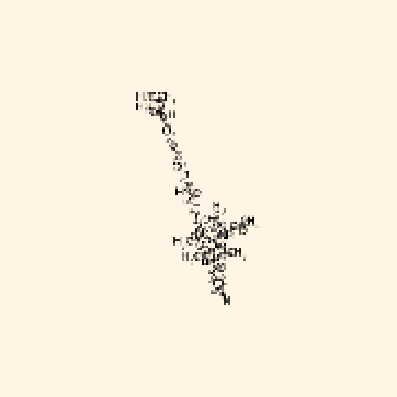 COC(=O)[C@@]1(OCCCCCCC(=O)NCCOCCOCCOCCOCCNC(=O)OC(C)(C)C)C[C@H](OC(C)=O)[C@@H](NC(=O)COC(C)=O)[C@H]([C@H](OC(C)=O)[C@@H](CNC(=O)Cc2ccc(C#N)cc2)OC(C)=O)O1